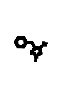 Cn1cc(Br)c(Cc2ccccc2)n1